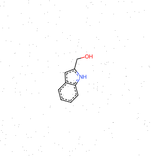 OCc1[c]c2ccccc2[nH]1